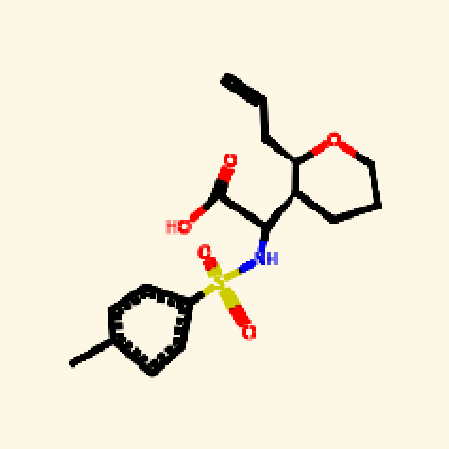 C=CC[C@H]1OCCC[C@H]1C(NS(=O)(=O)c1ccc(C)cc1)C(=O)O